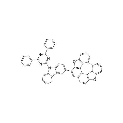 c1ccc(-c2nc(-c3ccccc3)nc(-n3c4ccccc4c4cc(-c5cc6ccc7oc8cccc9c8c7c6c6c5oc5cccc-9c56)ccc43)n2)cc1